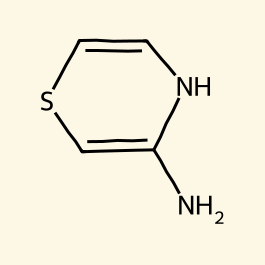 NC1=CSC=CN1